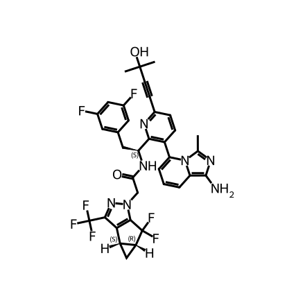 Cc1nc(N)c2cccc(-c3ccc(C#CC(C)(C)O)nc3[C@H](Cc3cc(F)cc(F)c3)NC(=O)Cn3nc(C(F)(F)F)c4c3C(F)(F)[C@@H]3C[C@H]43)n12